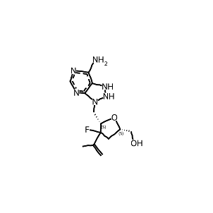 C=C(C)C1(F)C[C@@H](CO)O[C@H]1CN1NNc2c(N)ncnc21